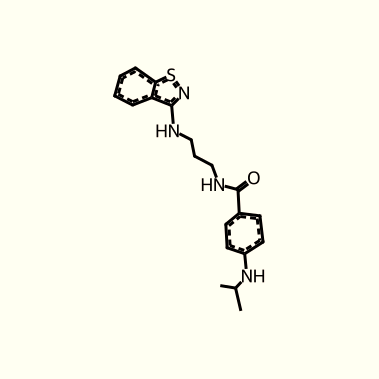 CC(C)Nc1ccc(C(=O)NCCCNc2nsc3ccccc23)cc1